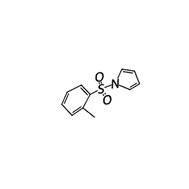 Cc1ccccc1S(=O)(=O)n1cccc1